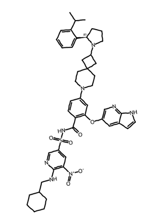 CC(C)c1ccccc1[C@H]1CCCN1C1CC2(CCN(c3ccc(C(=O)NS(=O)(=O)c4cnc(NCC5CCCCC5)c([N+](=O)[O-])c4)c(Oc4cnc5[nH]ccc5c4)c3)CC2)C1